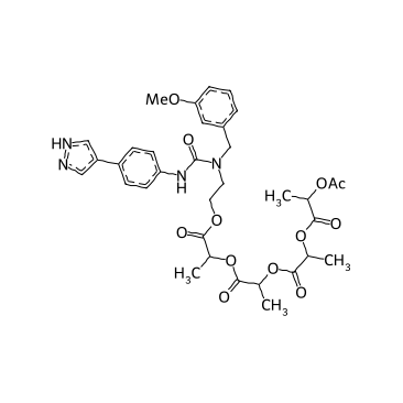 COc1cccc(CN(CCOC(=O)C(C)OC(=O)C(C)OC(=O)C(C)OC(=O)C(C)OC(C)=O)C(=O)Nc2ccc(-c3cn[nH]c3)cc2)c1